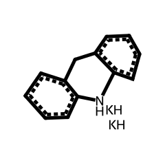 [KH].[KH].c1ccc2c(c1)Cc1ccccc1N2